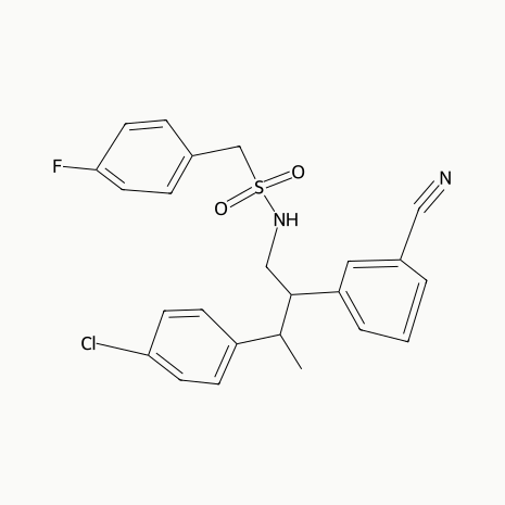 CC(c1ccc(Cl)cc1)C(CNS(=O)(=O)Cc1ccc(F)cc1)c1cccc(C#N)c1